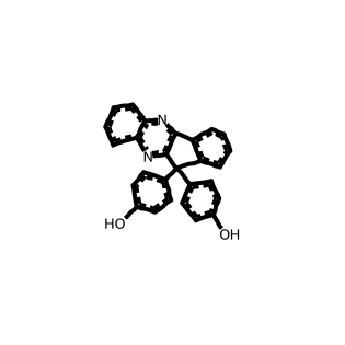 Oc1ccc(C2(c3ccc(O)cc3)c3ccccc3-c3nc4ccccc4nc32)cc1